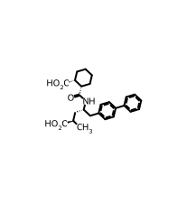 C[C@H](C[C@@H](Cc1ccc(-c2ccccc2)cc1)NC(=O)[C@H]1CCCC[C@H]1C(=O)O)C(=O)O